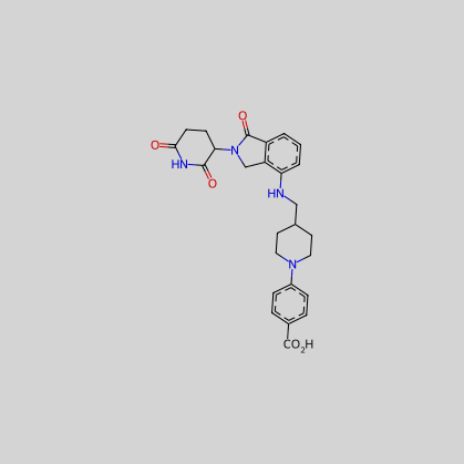 O=C1CCC(N2Cc3c(NCC4CCN(c5ccc(C(=O)O)cc5)CC4)cccc3C2=O)C(=O)N1